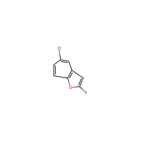 Fc1cc2cc(Cl)ccc2o1